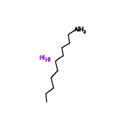 CCCCCCCCC[CH2][AlH2].I.I